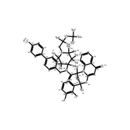 [2H]C([2H])([2H])OC([2H])([2H])CN1C([2H])([2H])C([2H])([2H])C([2H])(N(Cc2ccc(-c3ccc(C(F)(F)F)cc3)cc2)C(=O)C([2H])([2H])n2c(SC([2H])([2H])c3cccc(F)c3F)cc(=O)c3ccccc32)C([2H])([2H])C1([2H])[2H]